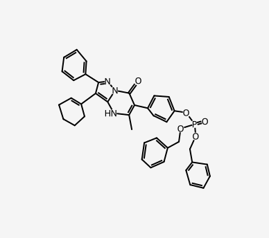 Cc1[nH]c2c(C3=CCCCC3)c(-c3ccccc3)nn2c(=O)c1-c1ccc(OP(=O)(OCc2ccccc2)OCc2ccccc2)cc1